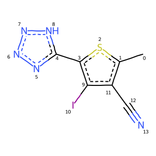 Cc1sc(-c2nnn[nH]2)c(I)c1C#N